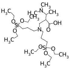 CCO[Si](CCCN(CCC[Si](OCC)(OCC)OCC)CC(C(=O)O)C(C)N(C)C)(OCC)OCC